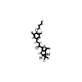 CCCCOc1c(C)cc(CCC(=O)c2sc(C)c3c2C[C@@H]2[C@H]3C2(C)C)cc1C